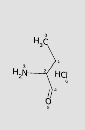 CCC(N)C=O.Cl